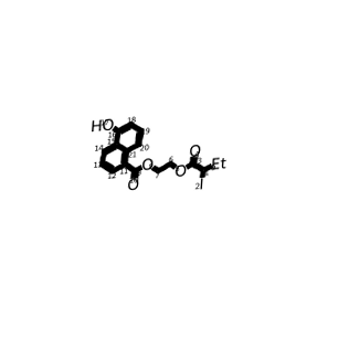 CCC(I)C(=O)OCCOC(=O)c1cccc2c(O)cccc12